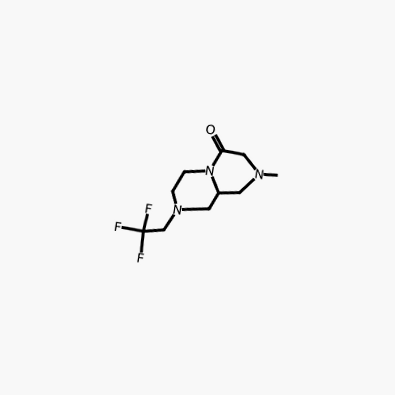 CN1CC(=O)N2CCN(CC(F)(F)F)CC2C1